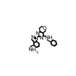 NCc1cccc2c1cnn2-c1nc2c(c(NCc3ccccc3)n1)COCC2